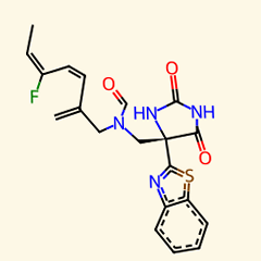 C=C(/C=C\C(F)=C/C)CN(C=O)C[C@@]1(c2nc3ccccc3s2)NC(=O)NC1=O